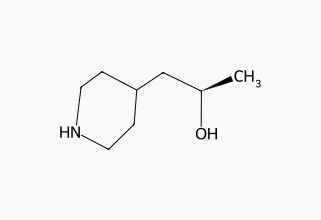 C[C@@H](O)CC1CCNCC1